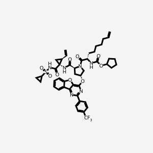 C=CCCCCC[C@H](NC(=O)OC1CCCC1)C(=O)N1C[C@H](Oc2nc(-c3ccc(C(F)(F)F)cc3)nc3c2oc2ccccc23)C[C@H]1C(=O)N[C@]1(C(=O)NS(=O)(=O)C2CC2)C[C@H]1C=C